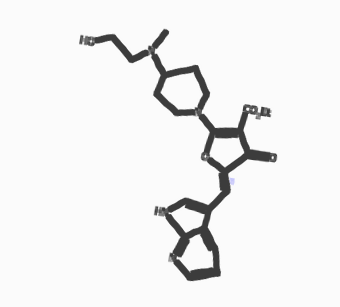 CCOC(=O)C1=C(N2CCC(N(C)CCO)CC2)O/C(=C\c2c[nH]c3ncccc23)C1=O